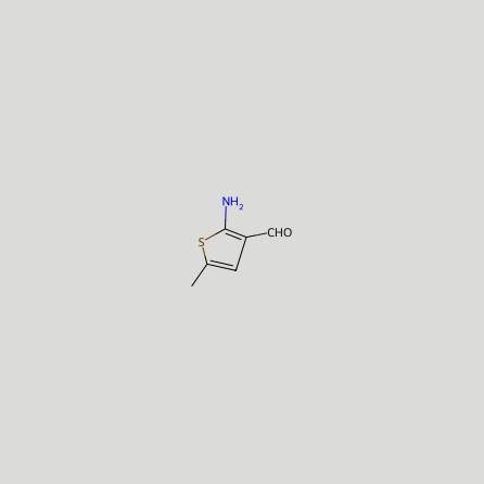 Cc1cc(C=O)c(N)s1